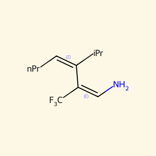 CCC/C=C(\C(=C/N)C(F)(F)F)C(C)C